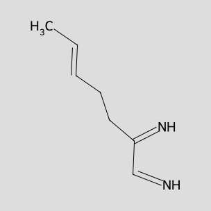 CC=CCCC(=N)C=N